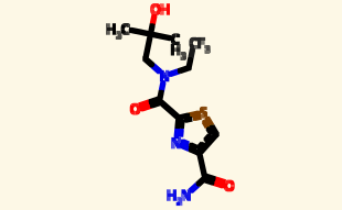 CC(C)(O)CN(CC(F)(F)F)C(=O)c1nc(C(N)=O)cs1